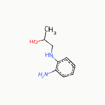 CC(O)CNc1ccccc1N